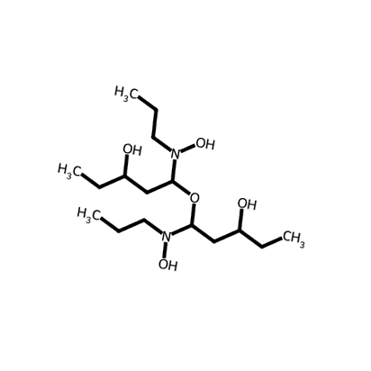 CCCN(O)C(CC(O)CC)OC(CC(O)CC)N(O)CCC